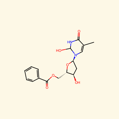 CC1=CN([C@H]2C[C@@H](O)[C@H](COC(=O)c3ccccc3)O2)C(O)NC1=O